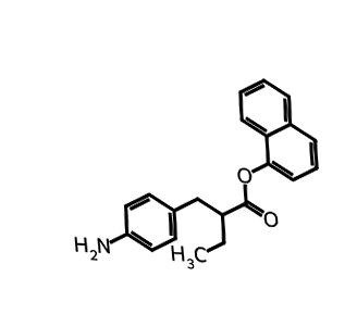 CCC(Cc1ccc(N)cc1)C(=O)Oc1cccc2ccccc12